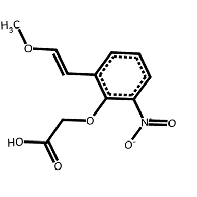 CO/C=C/c1cccc([N+](=O)[O-])c1OCC(=O)O